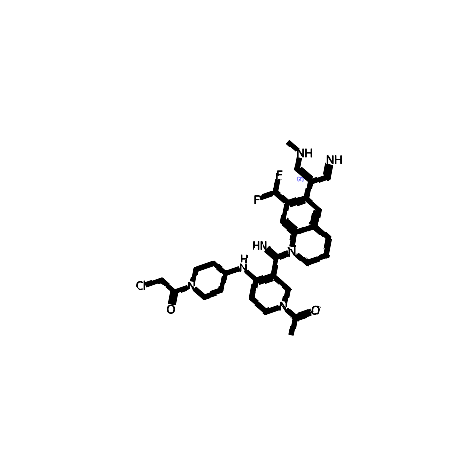 CN/C=C(\C=N)c1cc2c(cc1C(F)F)N(C(=N)C1=C(NC3CCN(C(=O)CCl)CC3)CCN(C(C)=O)C1)CCC2